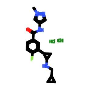 Cl.Cl.Cn1cc(NC(=O)c2ccc(F)c(C3CC3NCC3CC3)c2)cn1